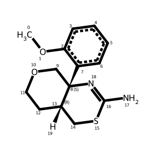 COc1ccccc1[C@]12COCC[C@H]1CSC(N)=N2